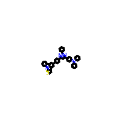 c1ccc(-c2nc(-c3ccc(-c4cc5c6ccccc6n6c7sccc7c(c4)c56)cc3)cc(-c3ccc(N(c4ccccc4)c4ccccc4)cc3)n2)cc1